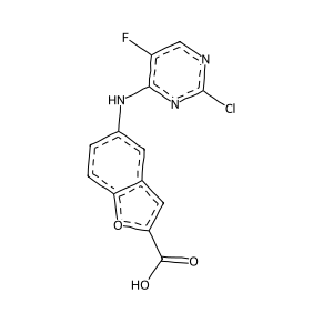 O=C(O)c1cc2cc(Nc3nc(Cl)ncc3F)ccc2o1